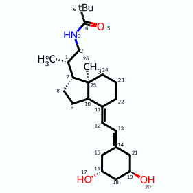 C[C@H](CNC(=O)C(C)(C)C)[C@H]1CCC2/C(=C/C=C3C[C@@H](O)C[C@H](O)C3)CCC[C@@]21C